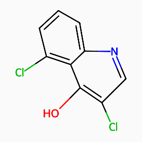 Oc1c(Cl)cnc2cccc(Cl)c12